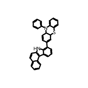 C1=CC2C(C=C1c1cccc3c1[nH]c1ccc4ccccc4c13)Sc1ccccc1N2c1ccccc1